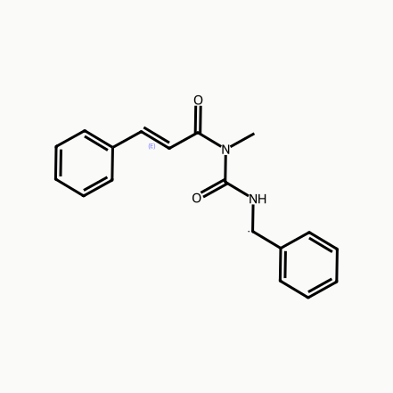 CN(C(=O)/C=C/c1ccccc1)C(=O)N[CH]c1ccccc1